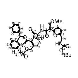 CON=C(C(=O)N[C@@H]1C(=O)N2C(C(=O)OC(c3ccccc3)c3ccccc3)=C(COC(N)=O)CS[C@@H]12)c1ccc(CNC(=O)OC(C)(C)C)o1